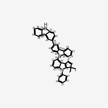 CC1(C)C=Cc2c1n(-c1ccccc1)c1cccc(-n3c4ccccc4c4cc(-c5ccc6[nH]c7ccccc7c6c5)ccc43)c21